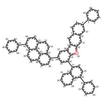 c1ccc(-c2ccc3cc4c(cc3c2)oc2c(-c3ccc(-c5ccccc5)c5ccccc35)cc(-c3ccc5ccc6c(-c7ccccc7)ccc7ccc3c5c76)cc24)cc1